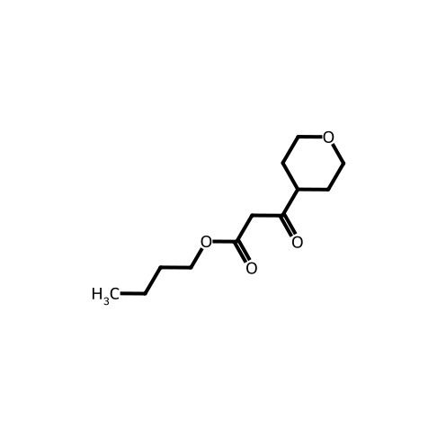 CCCCOC(=O)CC(=O)C1CCOCC1